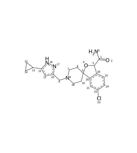 NC(=O)C1OC2(CCN(Cc3cc(C4CC4)[nH]n3)CC2)c2cc(Cl)ccc21